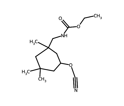 CCOC(=O)NCC1(C)CC(OC#N)CC(C)(C)C1